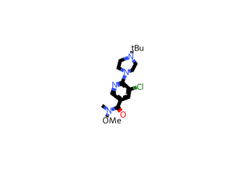 CON(C)C(=O)c1cnc(N2CCN(C(C)(C)C)CC2)c(Cl)c1